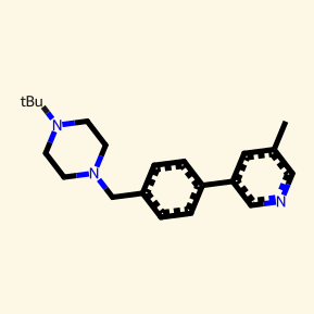 Cc1cncc(-c2ccc(CN3CCN(C(C)(C)C)CC3)cc2)c1